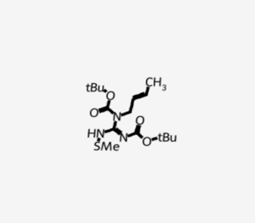 C/C=C/CN(C(=O)OC(C)(C)C)/C(=N\C(=O)OC(C)(C)C)NSC